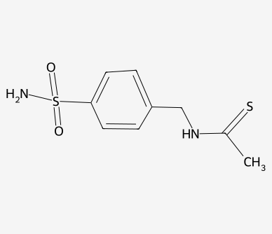 CC(=S)NCc1ccc(S(N)(=O)=O)cc1